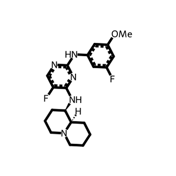 COc1cc(F)cc(Nc2ncc(F)c(N[C@@H]3CCCN4CCCC[C@H]34)n2)c1